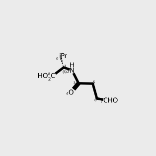 CC(C)[C@H](NC(=O)CCC=O)C(=O)O